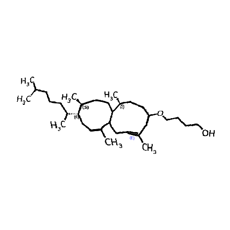 C/C1=C\CC2C(C)CC[C@H](C(C)CCCC(C)C)[C@@H](C)CCC2[C@@H](C)CCC(OCCCCO)C1